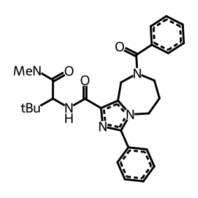 CNC(=O)C(NC(=O)c1nc(-c2ccccc2)n2c1CN(C(=O)c1ccccc1)CCC2)C(C)(C)C